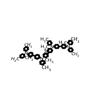 Cc1ccc(N(c2ccc(-c3ccc(N(c4ccc5c(c4)sc4cc(N(c6ccc(-c7ccc(N(c8ccc(C)cc8)c8ccc(C)cc8C)cc7)cc6)c6ccc(C)cc6C)ccc45)c4ccc(C)cc4C)cc3)cc2)c2ccc(C)cc2C)cc1